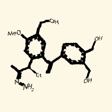 C=C(c1ccc(CO)c(CO)c1)c1cc(CO)c(OC)cc1[C@@H](CC)/C(C)=N\N